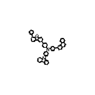 c1ccc(-c2cccc3c2oc2ccc(-c4ccc(N(c5ccc(-c6ccc7ccc8ccccc8c7c6)cc5)c5ccc(-n6c7ccccc7c7ccccc76)cc5)cc4)cc23)cc1